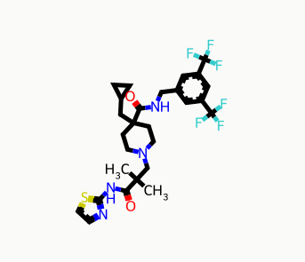 CC(C)(CN1CCC(CC2CC2)(C(=O)NCc2cc(C(F)(F)F)cc(C(F)(F)F)c2)CC1)C(=O)Nc1nccs1